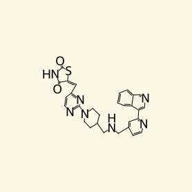 O=C1NC(=O)/C(=C\c2ccnc(N3CCC(CNCc4ccnc(-c5cncc6ccccc56)c4)CC3)n2)S1